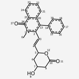 Cn1c(C=CC2CC(O)CC(=O)O2)c(-c2ccccc2)c2ccccc2c1=O